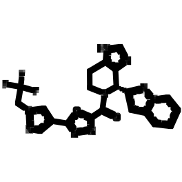 O=C(c1nnc(-c2cnn(CC(F)(F)F)c2)o1)N1CCc2[nH]cnc2[C@@H]1c1cc2ccccn2n1